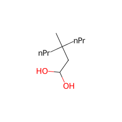 CCCC(C)(CCC)CC(O)O